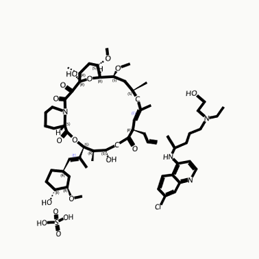 C=CC[C@@H]1/C=C(\C)C[C@H](C)C[C@H](OC)[C@H]2O[C@@](O)(C(=O)C(=O)N3CCCC[C@H]3C(=O)O[C@H](/C(C)=C/[C@@H]3CC[C@@H](O)[C@H](OC)C3)[C@H](C)[C@@H](O)CC1=O)[C@H](C)C[C@@H]2OC.CCN(CCO)CCCC(C)Nc1ccnc2cc(Cl)ccc12.O=S(=O)(O)O